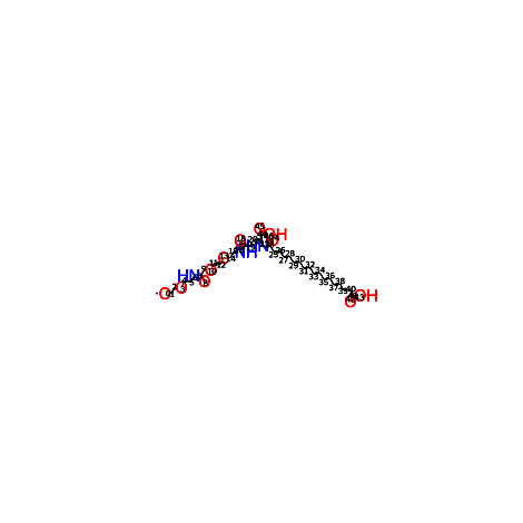 [O]CCOCCNC(=O)COCCOCCNC(=O)CC[C@H](NC(=O)CCCCCCCCCCCCCCCCC(=O)O)C(=O)O